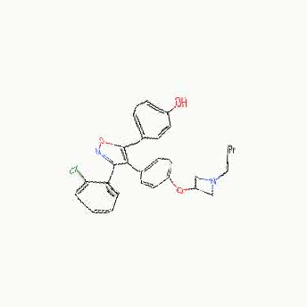 CC(C)CN1CC(Oc2ccc(-c3c(-c4ccccc4Cl)noc3-c3ccc(O)cc3)cc2)C1